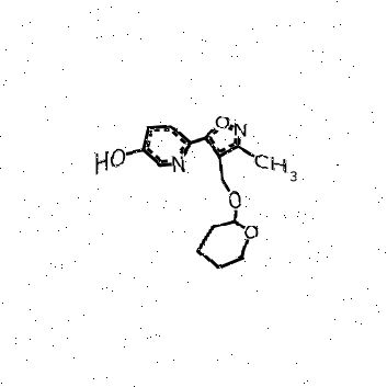 Cc1noc(-c2ccc(O)cn2)c1COC1CCCCO1